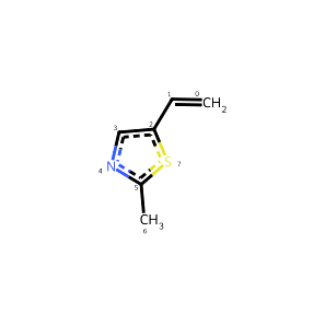 C=Cc1cnc(C)s1